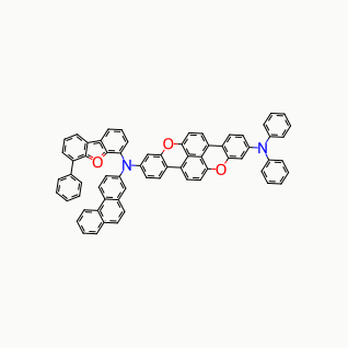 c1ccc(-c2cccc3c2oc2c(N(c4ccc5c(c4)Oc4ccc6c7c(ccc-5c47)Oc4cc(N(c5ccccc5)c5ccccc5)ccc4-6)c4ccc5c(ccc6ccccc65)c4)cccc23)cc1